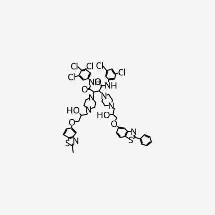 Cc1nc2cc(OCC(O)CN3CCN(C(C(=O)Nc4cc(Cl)c(Cl)c(Cl)c4)C(C(=O)Nc4cc(Cl)cc(Cl)c4)N4CCN(CC(O)COc5ccc6sc(-c7ccccc7)nc6c5)CC4)CC3)ccc2s1